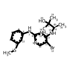 CSc1cccc(Nc2ncc(Br)c(N[C@H](C)C(C)(C)O)n2)c1